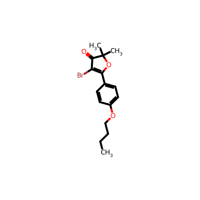 CCCCOc1ccc(C2=C(Br)C(=O)C(C)(C)O2)cc1